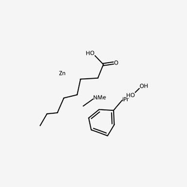 CC(C)c1ccccc1.CCCCCCCC(=O)O.CNC.OO.[Zn]